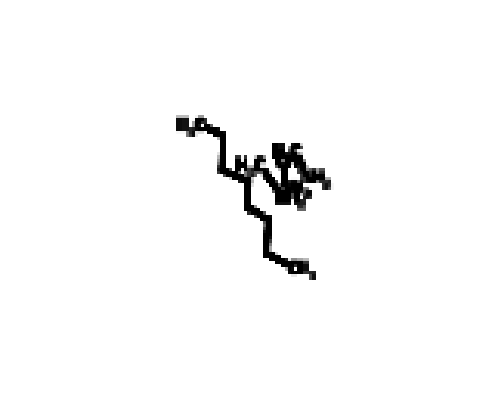 CCCCCCCC.CN.CN.CN